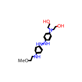 COCCNc1ccc(NNc2ccc(N(CCO)CCO)cc2)cc1